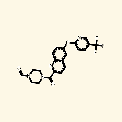 O=CN1CCN(C(=O)c2ccc3cc(Oc4ccc(C(F)(F)F)cn4)ccc3n2)CC1